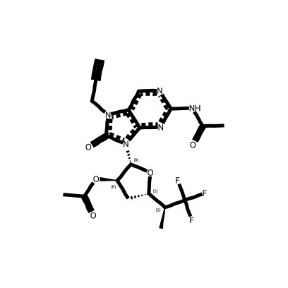 C#CCn1c(=O)n([C@@H]2O[C@H]([C@H](C)C(F)(F)F)C[C@H]2OC(C)=O)c2nc(NC(C)=O)ncc21